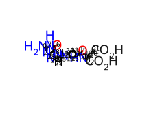 Nc1nc2c(c(=O)[nH]1)N1CN(c3ccc(C(=O)N[C@H](CCC(=O)O)C(=O)O)cc3)C[C@H]1C=N2